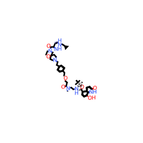 CN(CCNC[C@H](O[Si](C)(C)C(C)(C)C)c1ccc(O)c2[nH]c(=O)ccc12)C(=O)CCOCCc1ccc(CCN2CCC3(CC2)CN(C(=O)C(=N)/C=C\NCC2CC2)CCO3)cc1